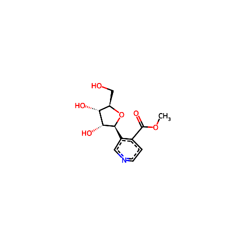 COC(=O)c1ccncc1[C@@H]1O[C@H](CO)[C@@H](O)[C@H]1O